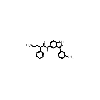 Cc1cccc(C2=NNC3C=CC(NC(=O)C(CCN)C4=CCCC=C4)=CC23)c1